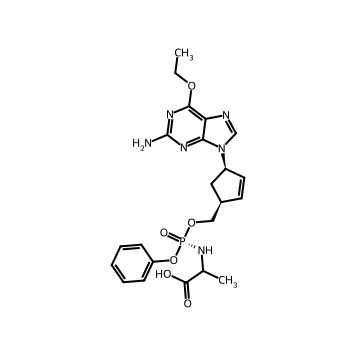 CCOc1nc(N)nc2c1ncn2[C@H]1C=C[C@@H](CO[P@@](=O)(NC(C)C(=O)O)Oc2ccccc2)C1